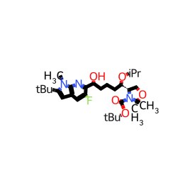 CC(C)OC(CCCC(O)c1nc2c(cc1F)cc(C(C)(C)C)n2C)[C@@H]1COC(C)(C)N1C(=O)OC(C)(C)C